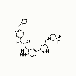 O=C(Nc1ccc(CN2CCC2)nc1)c1n[nH]c2ccc(-c3cncc(CN4CCC(F)(F)C4)c3)cc12